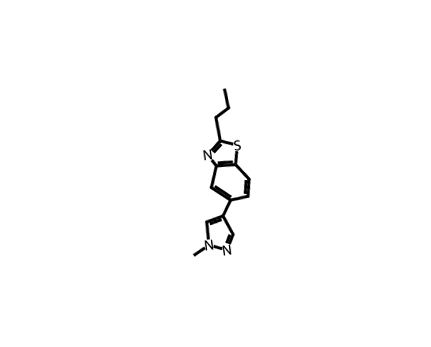 CCCc1nc2cc(-c3cnn(C)c3)ccc2s1